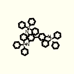 c1ccc(P(=Nc2ccc(-c3cc(N=P(c4ccccc4)(c4ccccc4)c4ccccc4)cc(N=P(c4ccccc4)(c4ccccc4)c4ccccc4)c3)cc2)(c2ccccc2)c2ccccc2)cc1